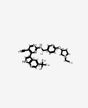 C[C@H](Nc1ncc(C#N)c(-c2c[nH]c3ncc(C(F)(F)F)cc23)n1)c1ccc(OC2CCN(CI)C2)nc1